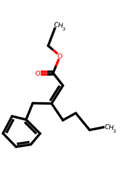 CCCC/C(=C/C(=O)OCC)Cc1ccccc1